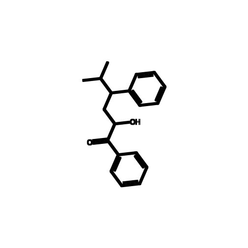 CC(C)C(CC(O)C(=O)c1ccccc1)c1ccccc1